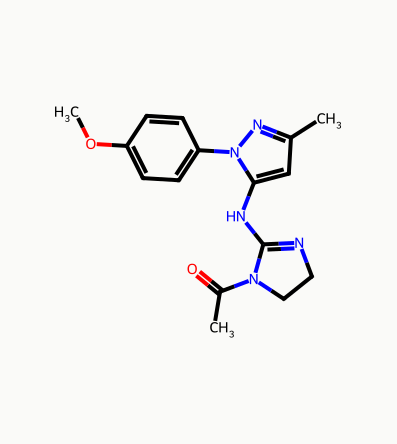 COc1ccc(-n2nc(C)cc2NC2=NCCN2C(C)=O)cc1